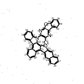 Clc1nc2c(nc1-n1c3ccccc3c3c4ccccc4c4c5cc6ccccc6cc5oc4c31)oc1ccccc12